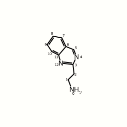 NCCc1ncc2ccccc2n1